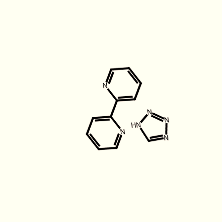 c1ccc(-c2ccccn2)nc1.c1nnn[nH]1